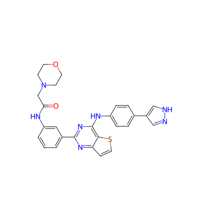 O=C(CN1CCOCC1)Nc1cccc(-c2nc(Nc3ccc(-c4cn[nH]c4)cc3)c3sccc3n2)c1